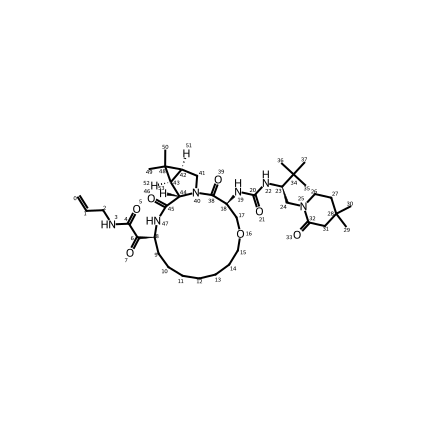 C=CCNC(=O)C(=O)[C@@H]1CCCCCCCOC[C@H](NC(=O)N[C@H](CN2CCC(C)(C)CC2=O)C(C)(C)C)C(=O)N2C[C@H]3[C@@H]([C@H]2C(=O)N1)C3(C)C